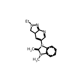 C=C1N(C)c2ccccc2N1C1=CC2CN(CC)N=C2N=C1